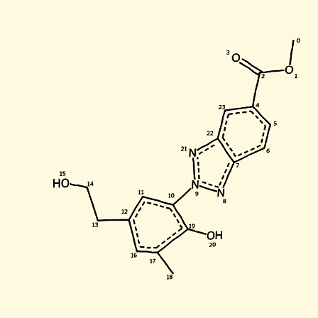 COC(=O)c1ccc2nn(-c3cc(CCO)cc(C)c3O)nc2c1